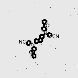 N#Cc1ccc(N(c2ccc3c(ccc4cc(N(c5ccc(C#N)cc5)c5ccc6c(c5)oc5ncccc56)ccc43)c2)c2ccc3c(c2)oc2ccccc23)cc1